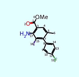 COC(=O)c1cc(C)c(-c2ccc(F)cc2)c(I)c1N